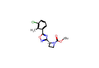 Cc1c(Cl)cccc1-c1nc([C@@H]2CCN2C(=O)OC(C)(C)C)no1